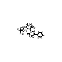 CC(=O)N(CC(=O)c1ccccc1)C(C(N)=O)C(C)O[Si](C)(C)C(C)(C)C